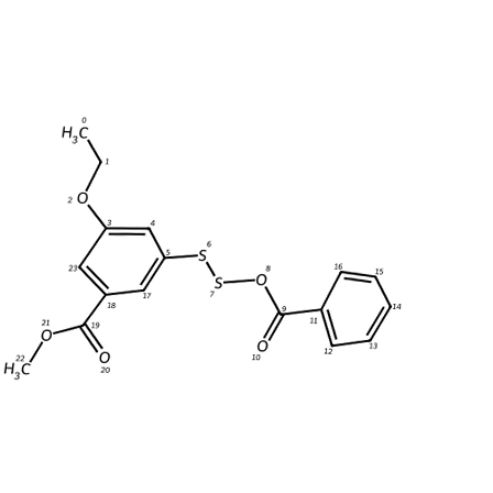 CCOc1cc(SSOC(=O)c2ccccc2)cc(C(=O)OC)c1